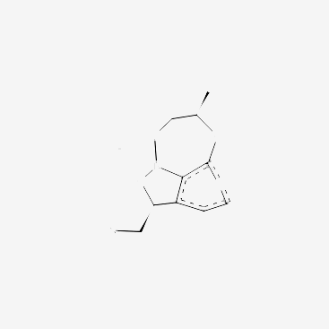 C[C@@H]1COB2O[C@H](CN)c3cccc(c32)O1.Cl